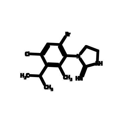 Cc1c(C(C)C)c(Cl)cc(Br)c1N1CCNC1=N